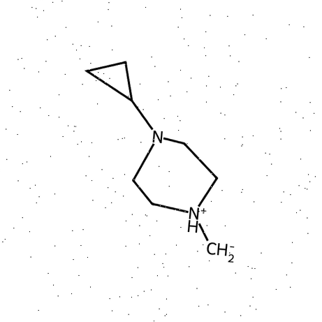 [CH2-][NH+]1CCN(C2CC2)CC1